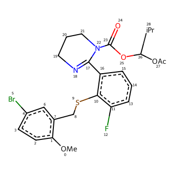 COc1ccc(Br)cc1CSc1c(F)cccc1C1=NCCCN1C(=O)OC(OC(C)=O)C(C)C